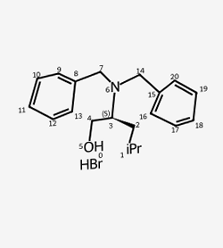 Br.CC(C)C[C@@H](CO)N(Cc1ccccc1)Cc1ccccc1